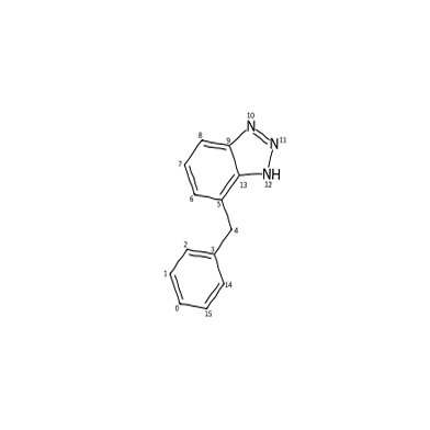 c1ccc(Cc2cccc3nn[nH]c23)cc1